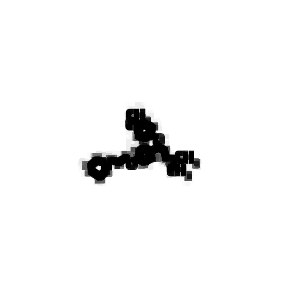 COc1ccc(OC(CCN(C)C)c2ccc(OCCCN3CCCCC3)cc2)cc1